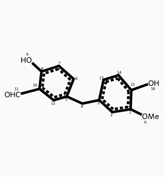 COc1cc(Cc2ccc(O)c(C=O)c2)ccc1O